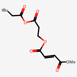 COC(=O)C=CC(=O)OCCC(=O)OC(=O)CC(C)(C)C